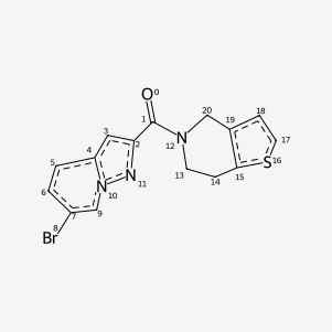 O=C(c1cc2ccc(Br)cn2n1)N1CCc2sccc2C1